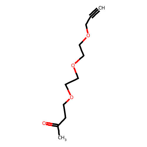 C#CCOCCOCCOCCC(C)=O